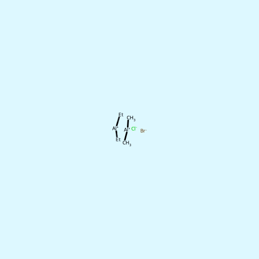 C[CH2][Al+][CH2]C.[Br-].[CH3][Al+][CH3].[Cl-]